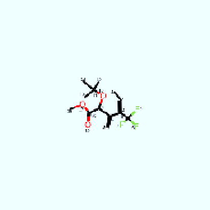 C=C(/C(=C\C)C(F)(F)F)C(OC(C)(C)C)C(=O)OC